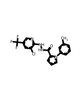 Cc1cccc(-n2cccc2C(=O)NNc2ncc(C(F)(F)F)cc2Cl)c1